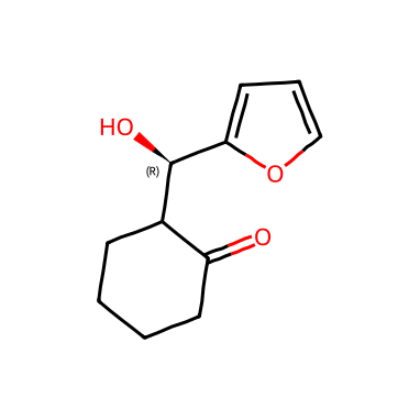 O=C1CCCCC1[C@@H](O)c1ccco1